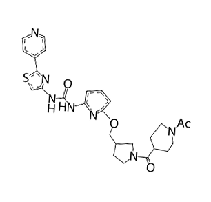 CC(=O)N1CCC(C(=O)N2CCC(COc3cccc(NC(=O)Nc4csc(-c5ccncc5)n4)n3)C2)CC1